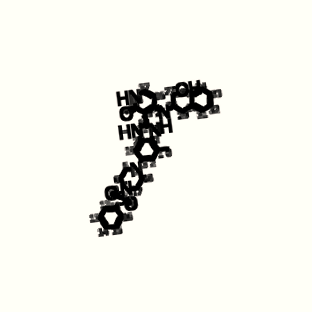 Cc1cc(N2CCN(S(=O)(=O)c3ccccc3)CC2)cc2[nH]c(-c3c(NC(CO)Cc4ccccc4)cc[nH]c3=O)nc12